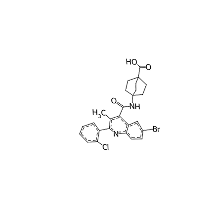 Cc1c(-c2ccccc2Cl)nc2ccc(Br)cc2c1C(=O)NC12CCC(C(=O)O)(CC1)CC2